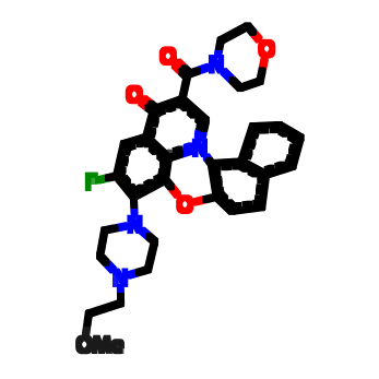 COCCN1CCN(c2c(F)cc3c(=O)c(C(=O)N4CCOCC4)cn4c3c2Oc2ccc3ccccc3c2-4)CC1